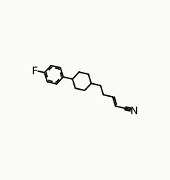 N#CC=CCCC1CCC(c2ccc(F)cc2)CC1